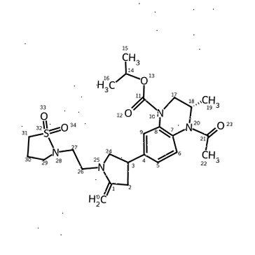 C=C1CC(c2ccc3c(c2)N(C(=O)OC(C)C)C[C@H](C)N3C(C)=O)CN1CCN1CCCS1(=O)=O